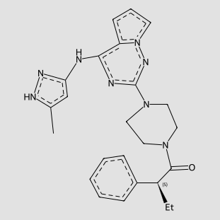 CC[C@H](C(=O)N1CCN(c2nc(Nc3cc(C)[nH]n3)c3cccn3n2)CC1)c1ccccc1